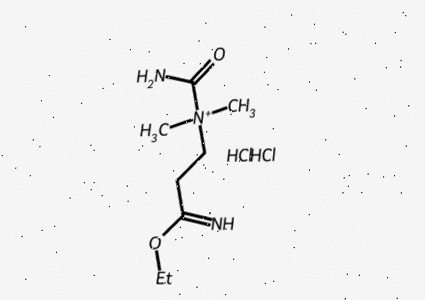 CCOC(=N)CC[N+](C)(C)C(N)=O.Cl.Cl